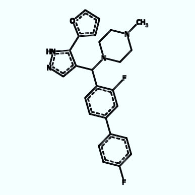 CN1CCN(C(c2ccc(-c3ccc(F)cc3)cc2F)c2cn[nH]c2-c2ccco2)CC1